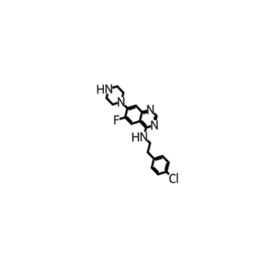 Fc1cc2c(NCCc3ccc(Cl)cc3)ncnc2cc1N1CCNCC1